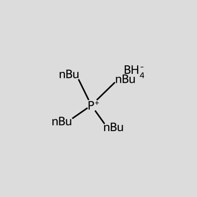 CCCC[P+](CCCC)(CCCC)CCCC.[BH4-]